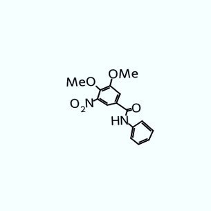 COc1cc(C(=O)Nc2ccccc2)cc([N+](=O)[O-])c1OC